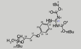 CC(C)(C)OC(=O)/N=C(/NC(=O)OC(C)(C)C)Nc1ccc(OCCCO[Si](C)(C)C(C)(C)C)cc1